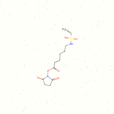 C=CS(=O)(=O)NCCCCCC(=O)ON1C(=O)CCC1=O